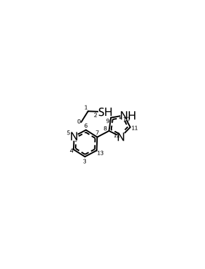 CCS.c1cncc(-c2c[nH]cn2)c1